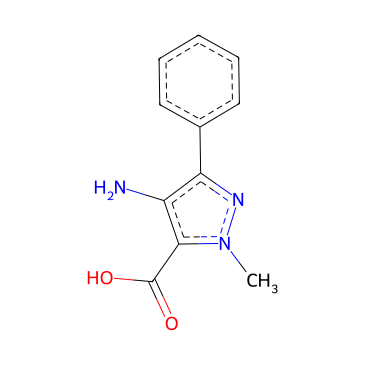 Cn1nc(-c2ccccc2)c(N)c1C(=O)O